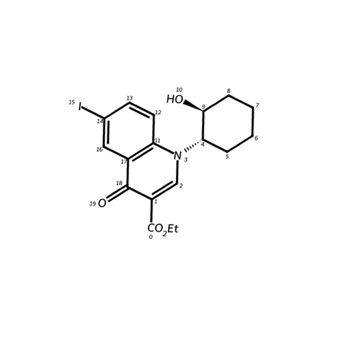 CCOC(=O)c1cn([C@H]2CCCC[C@@H]2O)c2ccc(I)cc2c1=O